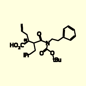 C=CC[C@H](C(=O)O)C(CC(C)C)C(=O)N(CCc1ccccc1)C(=O)OC(C)(C)C